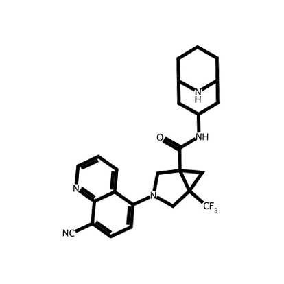 N#Cc1ccc(N2CC3(C(=O)NC4CC5CCCC(C4)N5)CC3(C(F)(F)F)C2)c2cccnc12